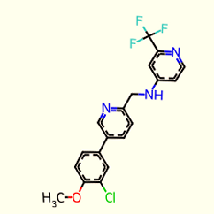 COc1ccc(-c2ccc(CNc3ccnc(C(F)(F)F)c3)nc2)cc1Cl